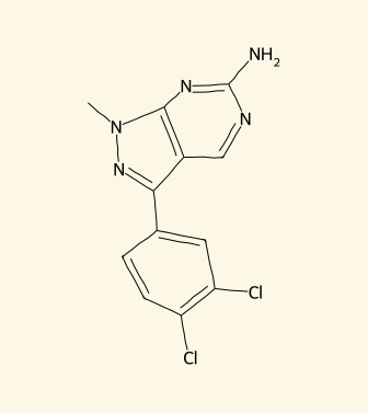 Cn1nc(-c2ccc(Cl)c(Cl)c2)c2cnc(N)nc21